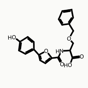 O=C(NC(COCc1ccccc1)C(=O)O)c1ccc(-c2ccc(O)cc2)o1